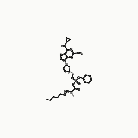 CCCCCON[C@@H](C)C(=O)OP(=O)(OC[C@@H]1C=C[C@H](n2cnc3c(NC4CC4)nc(N)nc32)C1)Oc1ccccc1